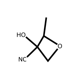 CC1OCC1(O)C#N